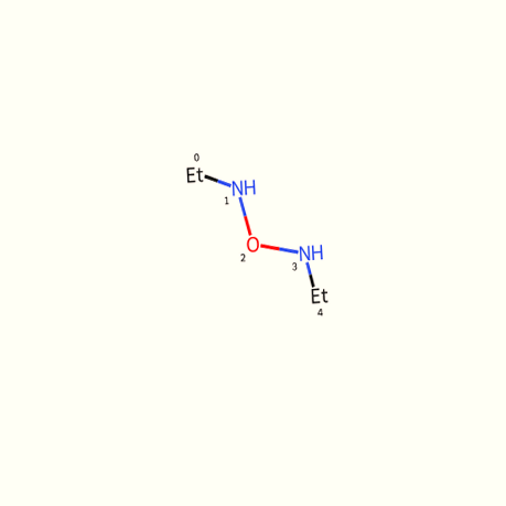 CCNONCC